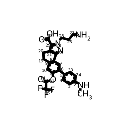 CNc1ccc(-c2cc3c(cc2OC(=O)C(F)(F)F)CCc2c-3nn(CCCN)c2C(=O)O)cc1